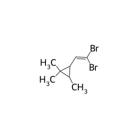 CC1C(C=C(Br)Br)C1(C)C